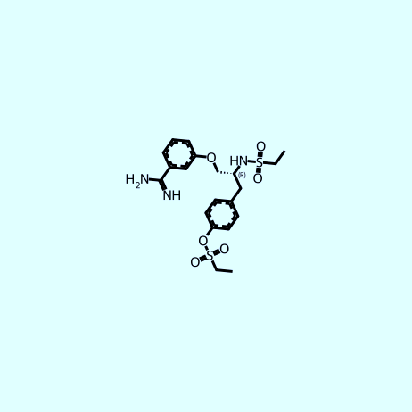 CCS(=O)(=O)N[C@@H](COc1cccc(C(=N)N)c1)Cc1ccc(OS(=O)(=O)CC)cc1